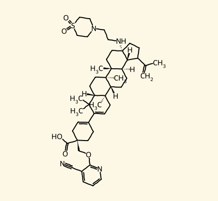 C=C(C)C1CC[C@]2(NCCN3CCS(=O)(=O)CC3)CC[C@]3(C)[C@H](CC[C@@H]4[C@@]5(C)CC=C(C6=CC[C@@](COc7ncccc7C#N)(C(=O)O)CC6)C(C)(C)[C@@H]5CC[C@]43C)[C@@H]12